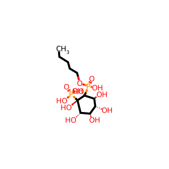 CCCCCOP(=O)(O)[C@@]1(O)[C@@H](O)[C@H](O)[C@H](O)[C@H](O)[C@]1(O)P(=O)(O)O